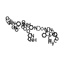 COc1ccc(CN2CCN(C3CC4(CCN(c5ccc(C(=O)NS(=O)(=O)c6ccc(NC[C@H]7COCCO7)c([N+](=O)[O-])c6)c(Oc6cnc7[nH]ccc7c6)c5)CC4)C3)[C@H](c3ccccc3C(C)C)C2)cc1